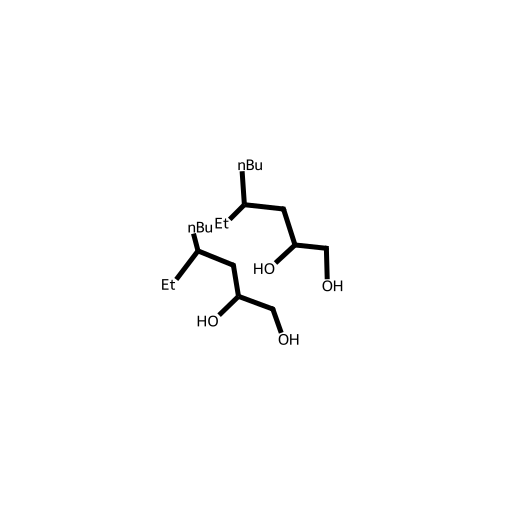 CCCCC(CC)CC(O)CO.CCCCC(CC)CC(O)CO